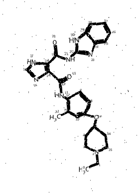 CCN1CCC(Oc2ccc(NC(=O)c3nc[nH]c3C(=O)Nc3nc4ccccc4[nH]3)c(C)c2)CC1